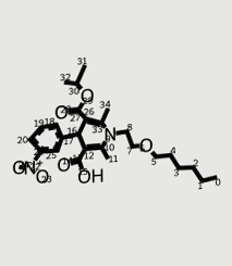 CCCCCCOCCN1C(C)=C(C(=O)O)C(c2cccc([N+](=O)[O-])c2)C(C(=O)OC(C)C)=C1C